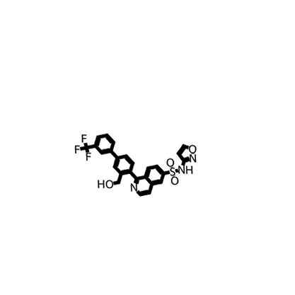 O=S(=O)(Nc1ccon1)c1ccc2c(-c3ccc(-c4cccc(C(F)(F)F)c4)cc3CO)nccc2c1